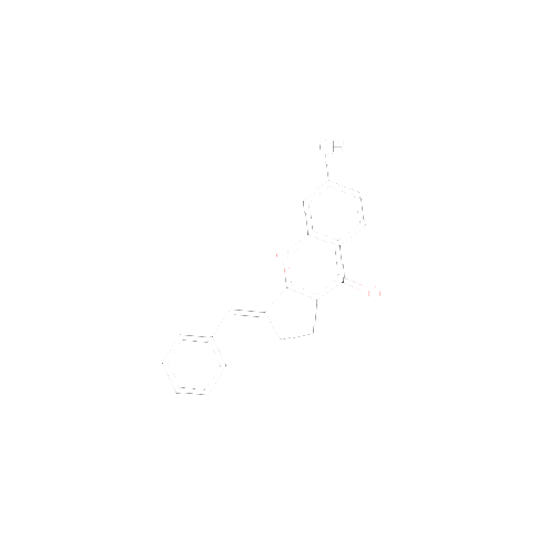 Cc1ccc2c(=O)c3c(oc2c1)C(=Cc1ccccc1)CC3